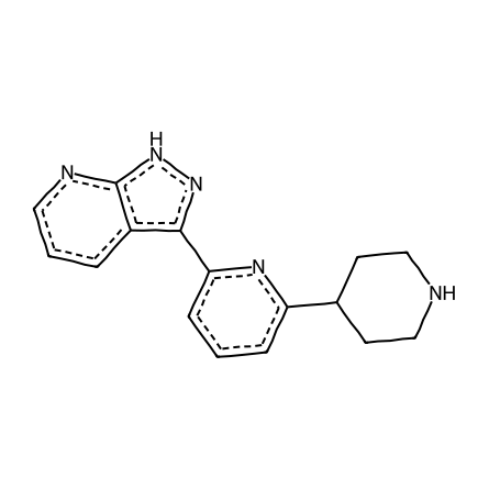 c1cc(-c2n[nH]c3ncccc23)nc(C2CCNCC2)c1